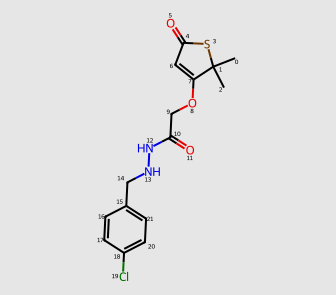 CC1(C)SC(=O)C=C1OCC(=O)NNCc1ccc(Cl)cc1